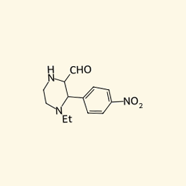 CCN1CCNC(C=O)C1c1ccc([N+](=O)[O-])cc1